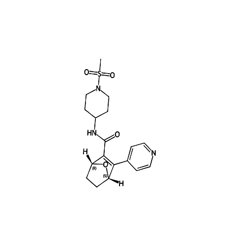 CS(=O)(=O)N1CCC(NC(=O)C2=C(c3ccncc3)[C@@H]3CC[C@H]2O3)CC1